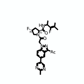 CC(=O)c1nn(CC(=O)N2C[C@H](F)C[C@H]2C(=O)NC(C)C(F)=C(C)C)c2ccc(-c3cnc(C)nc3)cc12